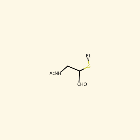 CCSC(C=O)CNC(C)=O